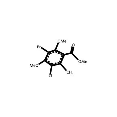 COC(=O)c1c(C)c(Cl)c(OC)c(Br)c1OC